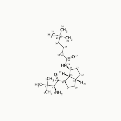 CC(C)(C)[C@H](N)C(=O)N1CC[C@H]2CC[C@H](NC(=O)OCC[Si](C)(C)C)[C@H]21